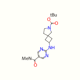 CNC(=O)c1cnc(NC2CC3(CCN(C(=O)OC(C)(C)C)C3)C2)nc1